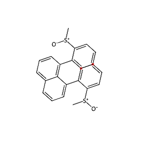 C[S+]([O-])c1ccccc1-c1cccc2cccc(-c3ccccc3[S+](C)[O-])c12